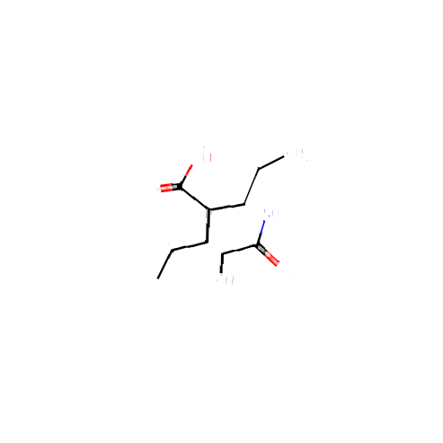 CCC(N)=O.CCCC(CCC)C(=O)O